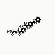 CC(C)C(Nc1ccc(C(=O)NCCC(=O)O)cn1)c1ccc(-c2nc3ccccc3o2)cc1